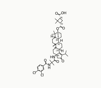 CC(C)C1=C2[C@H]3CC[C@@H]4[C@@]5(C)CC[C@H](OC(=O)[C@H]6C[C@@H](C(=O)O)C6(C)C)C(C)(C)[C@@H]5CC[C@@]4(C)[C@]3(C)CC[C@@]2(NC(=O)C(C)(C)NC(=O)c2ccc(Cl)c(Cl)c2)CC1=O